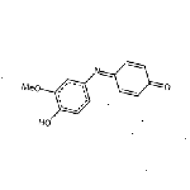 COc1cc(N=C2C=CC(=O)C=C2)ccc1O